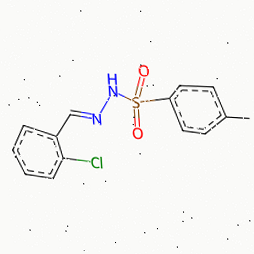 Cc1ccc(S(=O)(=O)NN=Cc2ccccc2Cl)cc1